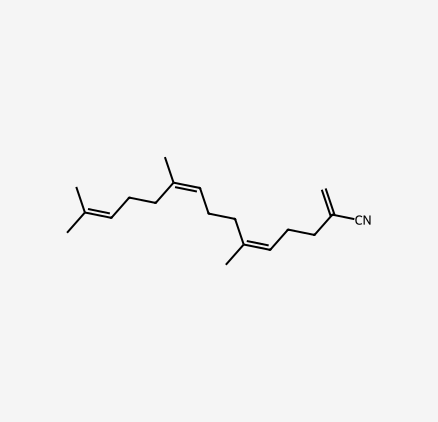 C=C(C#N)CCC=C(C)CCC=C(C)CCC=C(C)C